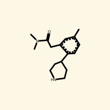 Cc1ccc(C2CCNCC2)c(CC(=O)N(C)C)c1